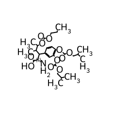 CCCOC(=O)OC(C)C(C)C(c1ccc(OC(=O)OCC(C)C)c(OC(=O)OCC(C)C)c1)[C@H](N)C(=O)O